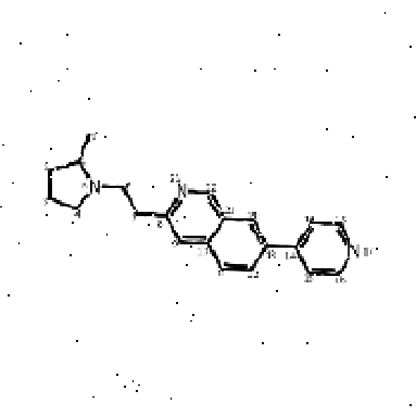 CC1CCCN1CCc1cc2ccc(-c3ccncc3)cc2cn1